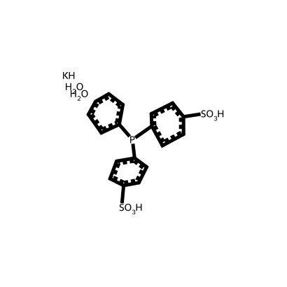 O.O.O=S(=O)(O)c1ccc(P(c2ccccc2)c2ccc(S(=O)(=O)O)cc2)cc1.[KH]